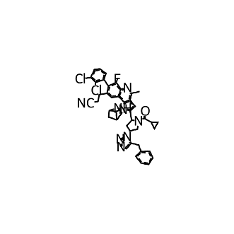 Cc1nc2c(F)c(-c3cccc(Cl)c3Cl)c(CCC#N)cc2c2c1cc(C1CC(n3nncc3Cc3ccccc3)CN1C(=O)C1CC1)n2C1C2CNC1C2